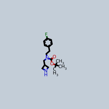 CC(C)(C)OC(=O)N(CCc1ccc(F)cc1)CC1CNC1